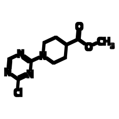 COC(=O)C1CCN(c2ncnc(Cl)n2)CC1